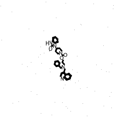 O=C(OCCCN(Cc1ccccc1)Cc1ccnc2ccccc12)N1CCC(n2c(=O)[nH]c3ccccc32)CC1